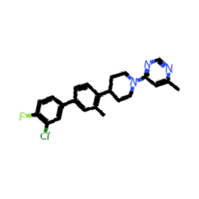 Cc1cc(N2CCC(c3ccc(-c4ccc(F)c(Cl)c4)cc3C)CC2)ncn1